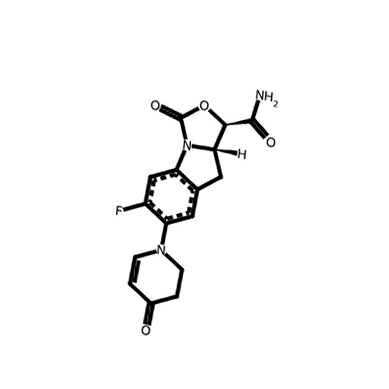 NC(=O)[C@@H]1OC(=O)N2c3cc(F)c(N4C=CC(=O)CC4)cc3C[C@@H]12